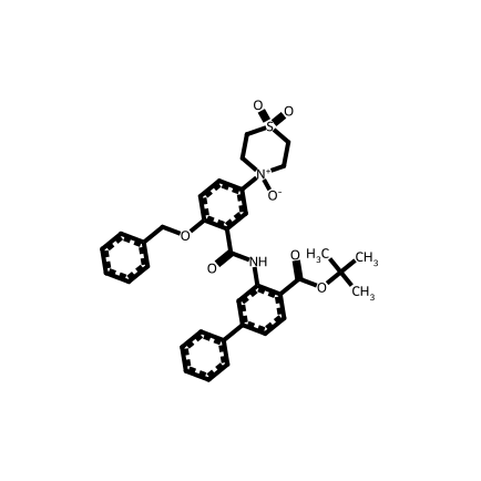 CC(C)(C)OC(=O)c1ccc(-c2ccccc2)cc1NC(=O)c1cc([N+]2([O-])CCS(=O)(=O)CC2)ccc1OCc1ccccc1